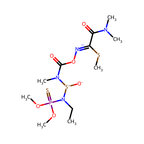 CCN([S+]([O-])N(C)C(=O)O/N=C(\SC)C(=O)N(C)C)P(=S)(OC)OC